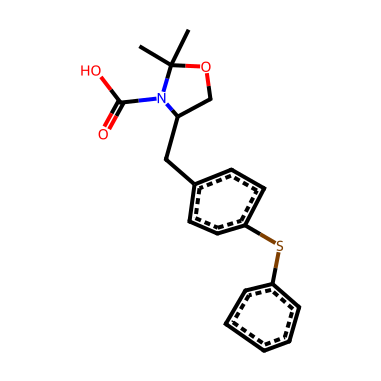 CC1(C)OCC(Cc2ccc(Sc3ccccc3)cc2)N1C(=O)O